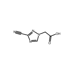 N#Cc1ncn(CC(=O)O)n1